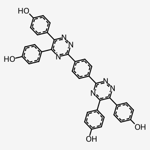 Oc1ccc(-c2nnc(-c3ccc(-c4nnc(-c5ccc(O)cc5)c(-c5ccc(O)cc5)n4)cc3)nc2-c2ccc(O)cc2)cc1